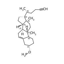 C#CCC[C@@H](C)[C@H]1CC[C@H]2[C@@H]3CC=C4C[C@@H](OP)CC[C@]4(C)[C@H]3CC[C@]12C